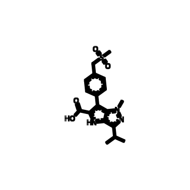 CC(C)c1nn(C)c2c(-c3ccc(CS(C)(=O)=O)cc3)c(C(=O)O)[nH]c12